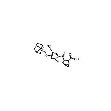 O=C(O)C1C2CC2CN1C(=O)c1cc(C2CC2)c(OCC23CC4CC(CC(C4)C2)C3)cc1F